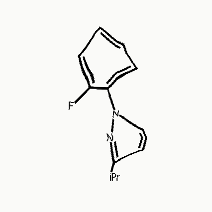 CC(C)c1ccn(-c2ccccc2F)n1